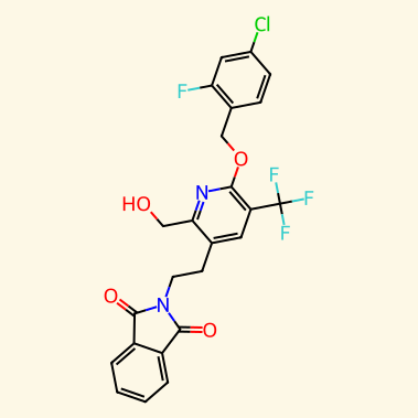 O=C1c2ccccc2C(=O)N1CCc1cc(C(F)(F)F)c(OCc2ccc(Cl)cc2F)nc1CO